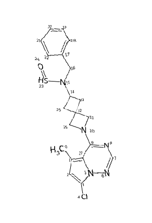 Cc1cc(Cl)n2ncnc(N3CC4(CC(N(Cc5ccccc5)[SH]=O)C4)C3)c12